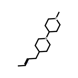 C/C=C/CC1CCN(C2CCP(C)CC2)CC1